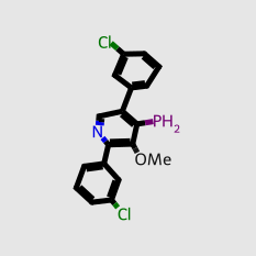 COc1c(-c2cccc(Cl)c2)ncc(-c2cccc(Cl)c2)c1P